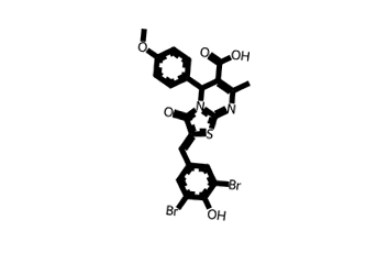 COc1ccc(C2C(C(=O)O)=C(C)N=c3sc(=Cc4cc(Br)c(O)c(Br)c4)c(=O)n32)cc1